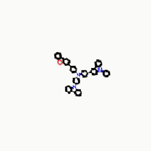 c1ccc(-n2c3ccccc3c3cc(-c4ccc(N(c5ccc(-c6ccc7c(c6)oc6ccccc67)cc5)c5ccc(-n6c7ccccc7c7ccccc76)cc5)cc4)ccc32)cc1